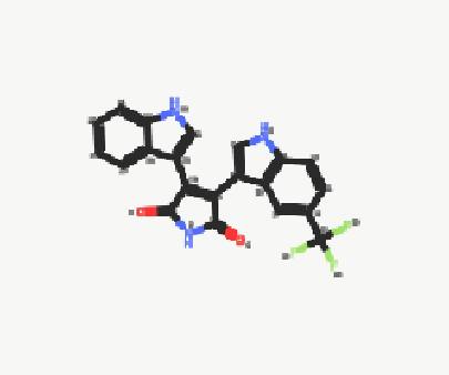 O=C1NC(=O)C(c2c[nH]c3ccc(C(F)(F)F)cc23)=C1c1c[nH]c2ccccc12